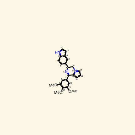 COc1cc(C2=NC(c3ccc4[nH]ccc4c3)Cn3cccc32)cc(OC)c1OC